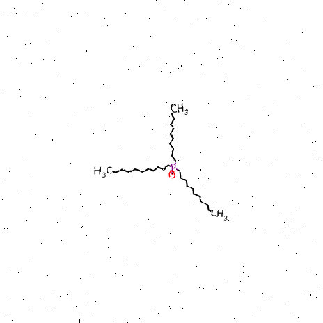 CCCCCCCCCCCP(=O)(CCCCCCCCCCC)CCCCCCCCCCC